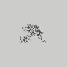 CNCc1cn([C@@H]2O[C@H](CO[Si](C)(C)C(C)(C)C)C(O[Si](C)(C)C(C)(C)C)C2O[Si](C)(C)C(C)(C)C)c(=O)[nH]c1=O